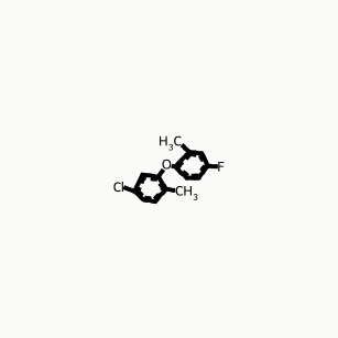 Cc1cc(F)ccc1Oc1cc(Cl)ccc1C